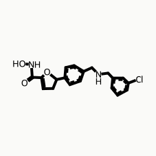 O=C(NO)C1=CCC(c2ccc(CNCc3cccc(Cl)c3)cc2)O1